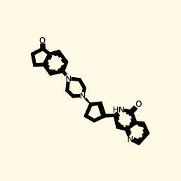 O=C1CCc2cc(N3CCN([C@H]4C=C(c5cc6ncccc6c(=O)[nH]5)CC4)CC3)ccc21